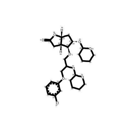 O=C1C[C@H]2[C@H](OCC(COc3cccc(Cl)c3)OC3CCCCO3)[C@@H](OC3CCCCO3)C[C@H]2O1